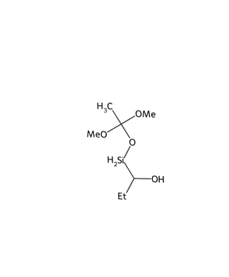 CCC(O)[SiH2]OC(C)(OC)OC